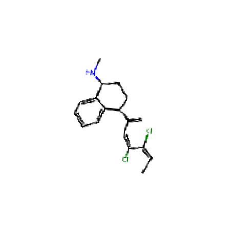 C=C(/C=C(Cl)\C(Cl)=C/C)[C@@H]1CC[C@H](NC)c2ccccc21